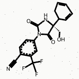 N#Cc1ccc(N2C(=O)N[C@@](CO)(C3C=CC=CC3)C2=O)cc1C(F)(F)F